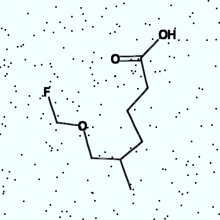 CC(CCCC(=O)O)COCF